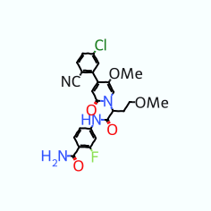 COCCC(C(=O)Nc1ccc(C(N)=O)c(F)c1)n1cc(OC)c(-c2cc(Cl)ccc2C#N)cc1=O